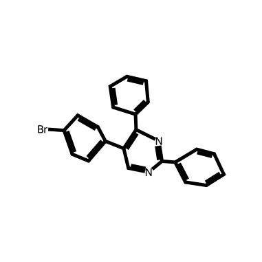 Brc1ccc(-c2cnc(-c3ccccc3)nc2-c2ccccc2)cc1